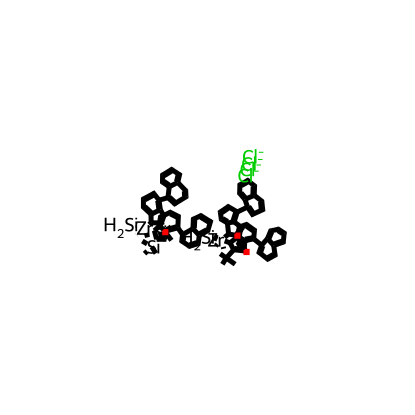 CC(C)(C)C1=Cc2c(-c3cccc4ccccc34)cccc2[CH]1[Zr]([CH3])([CH3])(=[SiH2])[CH]1C(C(C)(C)C)=Cc2c(-c3cccc4ccccc34)cccc21.C[Si](C)(C)C1=Cc2c(-c3cccc4ccccc34)cccc2[CH]1[Zr]([CH3])([CH3])(=[SiH2])[CH]1C([Si](C)(C)C)=Cc2c(-c3cccc4ccccc34)cccc21.[Cl-].[Cl-].[Cl-].[Cl-]